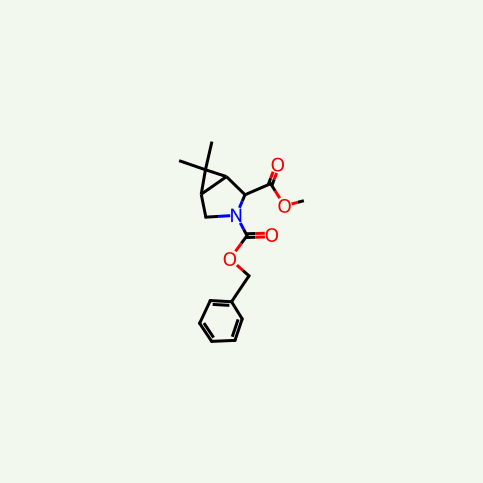 COC(=O)C1C2C(CN1C(=O)OCc1ccccc1)C2(C)C